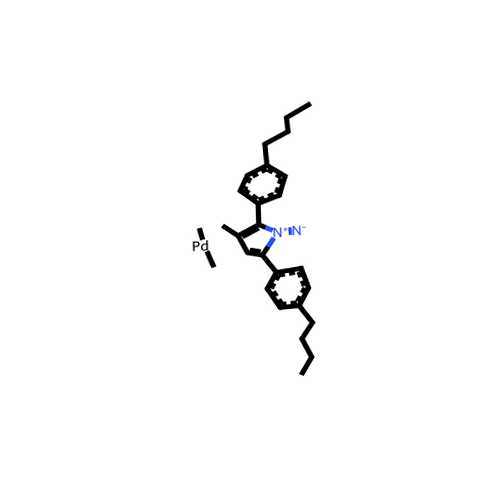 CCCCc1ccc(C2=CC(C)=C(c3ccc(CCCC)cc3)[N+]2=[N-])cc1.[CH3][Pd][CH3]